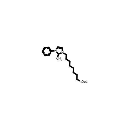 CCCCCCCCCCCCCCCCCCN1C=CN(c2ccccc2)C1C